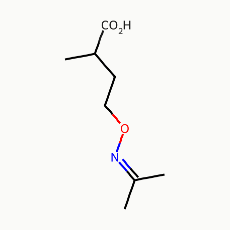 CC(C)=NOCCC(C)C(=O)O